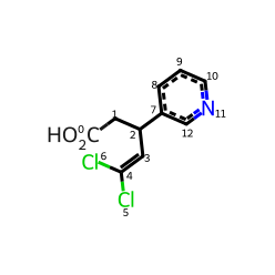 O=C(O)CC(C=C(Cl)Cl)c1cccnc1